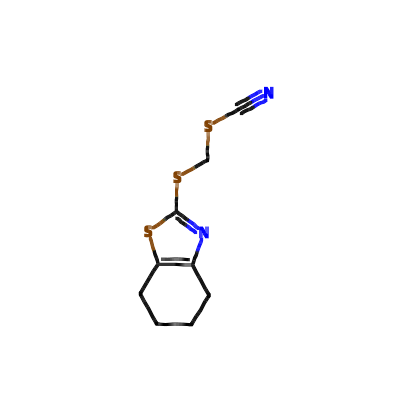 N#CSCSc1nc2c(s1)CCCC2